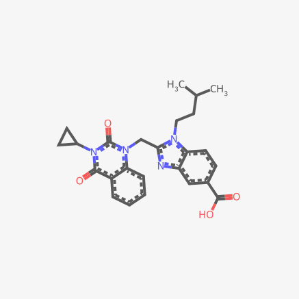 CC(C)CCn1c(Cn2c(=O)n(C3CC3)c(=O)c3ccccc32)nc2cc(C(=O)O)ccc21